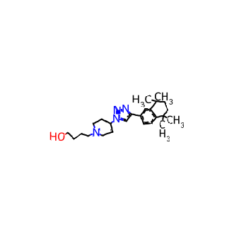 CC1(C)CCC(C)(C)c2cc(-c3cn(C4CCN(CCCCO)CC4)nn3)ccc21